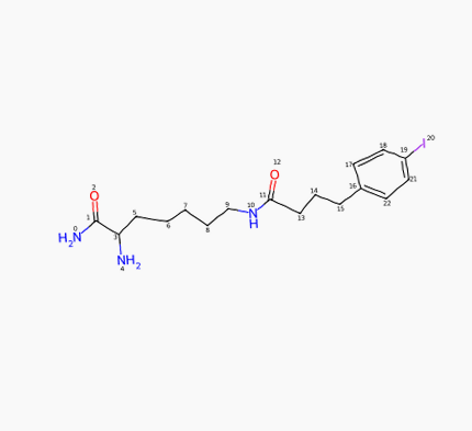 NC(=O)C(N)CCCCCNC(=O)CCCc1ccc(I)cc1